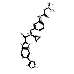 CN(C)CC(=O)Nc1cccc(CN(C(=O)c2nc3ccc(-c4cn[nH]c4)cc3s2)C2CC2)c1